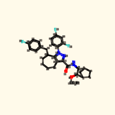 CCOC(=O)O[C@@H]1C2CCC(C2)[C@@H]1NC(=O)c1nn(-c2ccc(F)cc2F)c2c1CCCCC2Cc1ccc(F)cc1